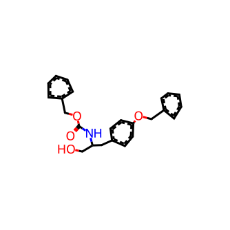 O=C(NC(CO)Cc1ccc(OCc2ccccc2)cc1)OCc1ccccc1